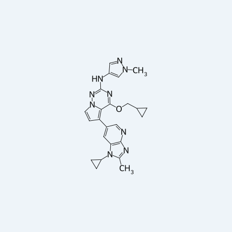 Cc1nc2ncc(-c3ccn4nc(Nc5cnn(C)c5)nc(OCC5CC5)c34)cc2n1C1CC1